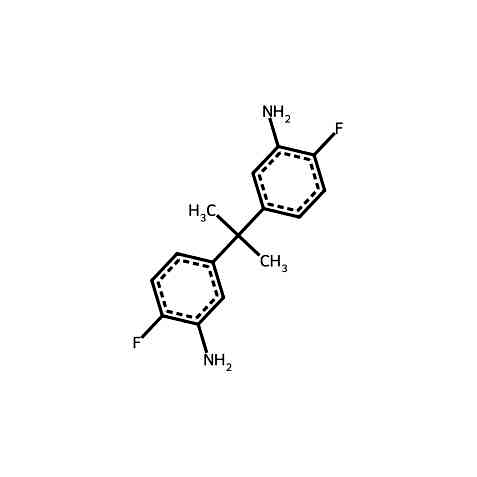 CC(C)(c1ccc(F)c(N)c1)c1ccc(F)c(N)c1